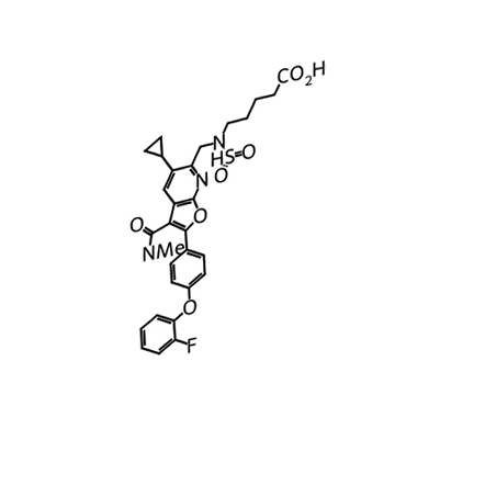 CNC(=O)c1c(-c2ccc(Oc3ccccc3F)cc2)oc2nc(CN(CCCCC(=O)O)[SH](=O)=O)c(C3CC3)cc12